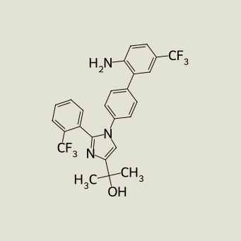 CC(C)(O)c1cn(-c2ccc(-c3cc(C(F)(F)F)ccc3N)cc2)c(-c2ccccc2C(F)(F)F)n1